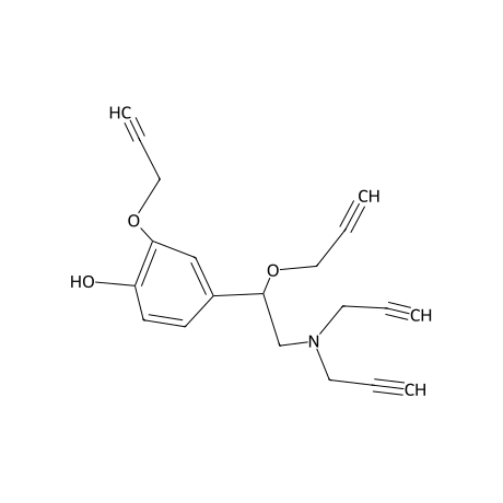 C#CCOc1cc(C(CN(CC#C)CC#C)OCC#C)ccc1O